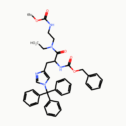 CC(C)(C)OC(=O)NCCN(CC(=O)O)C(=O)C(Cc1cn(C(c2ccccc2)(c2ccccc2)c2ccccc2)cn1)NC(=O)OCc1ccccc1